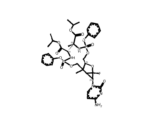 CC(C)OC(=O)[C@H](C)NP(=O)(OC[C@H]1OC2(F)C([C@@H]2n2ccc(N)nc2=O)C1(C)COP(=O)(N[C@@H](C)C(=O)OC(C)C)Oc1ccccc1)Oc1ccccc1